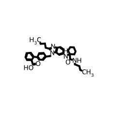 CCCCNC(=O)C1(Nc2ccc3nc(CCCC)n(Cc4ccc(-c5ccccc5C(=O)O)cc4)c3c2)CCCCC1